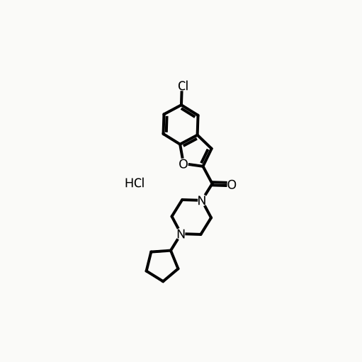 Cl.O=C(c1cc2cc(Cl)ccc2o1)N1CCN(C2CCCC2)CC1